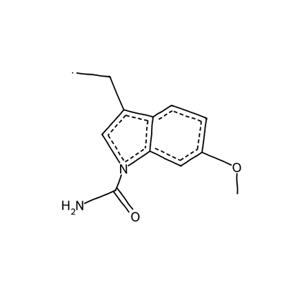 [CH2]Cc1cn(C(N)=O)c2cc(OC)ccc12